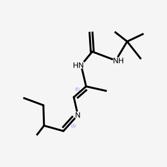 C=C(N/C(C)=C/N=C\C(C)CC)NC(C)(C)C